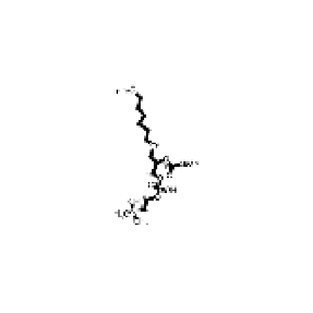 CCCCCCCCCCCCCCCCOCC(COP(=O)(O)OCC[N+](C)(C)C)OC(=O)NC